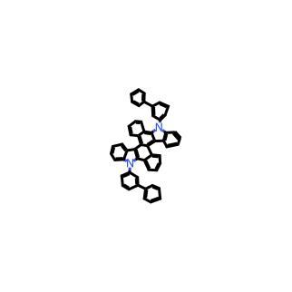 c1ccc2c3c4c5ccccc5c5c(c6ccccc6n5-c5cccc(-c6ccccc6)c5)c4c4ccccc4c3n(-c3cccc(-c4ccccc4)c3)c2c#1